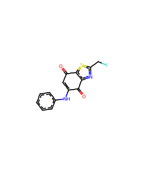 O=C1C(Nc2ccccc2)=CC(=O)c2sc(CF)nc21